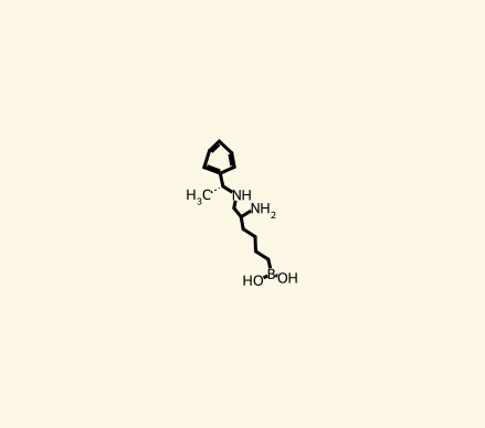 C[C@@H](NCC(N)CCCCB(O)O)c1ccccc1